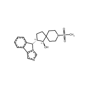 CS(=O)(=O)N1CCC2(CC[C@@H](C3c4ccccc4-c4cncn43)[C@@H]2O)CC1